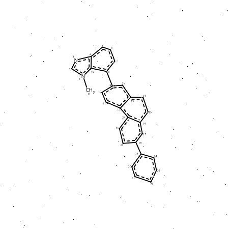 Cn1cnc2cccc(-c3ccc4c(ccc5cc(-c6ccccc6)ccc54)c3)c21